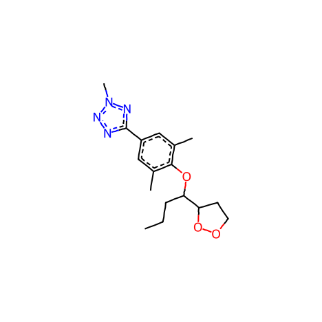 CCCC(Oc1c(C)cc(-c2nnn(C)n2)cc1C)C1CCOO1